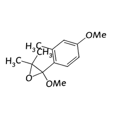 COc1ccc(C2(OC)OC2(C)C)c(C)c1